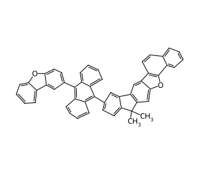 CC1(C)c2ccc(-c3c4ccccc4c(-c4ccc5oc6ccccc6c5c4)c4ccccc34)cc2-c2cc3c(cc21)oc1c2ccccc2ccc31